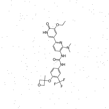 CCOc1cc(-c2ccc(NC(=O)Nc3ccc(OC4(C)COC4)c(C(F)(F)F)c3)c(N(C)C)n2)c[nH]c1=O